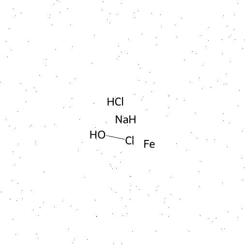 Cl.OCl.[Fe].[NaH]